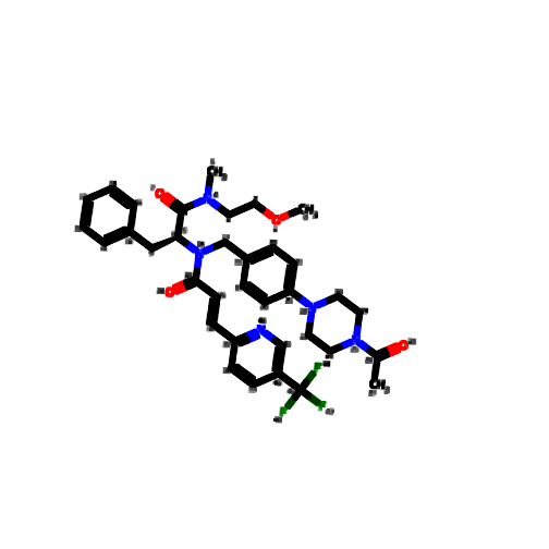 COCCN(C)C(=O)[C@H](Cc1ccccc1)N(Cc1ccc(N2CCN(C(C)=O)CC2)cc1)C(=O)C=Cc1ccc(C(F)(F)F)cn1